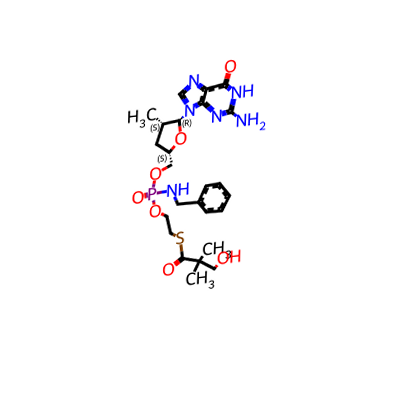 C[C@H]1C[C@@H](COP(=O)(NCc2ccccc2)OCCSC(=O)C(C)(C)CO)O[C@H]1n1cnc2c(=O)[nH]c(N)nc21